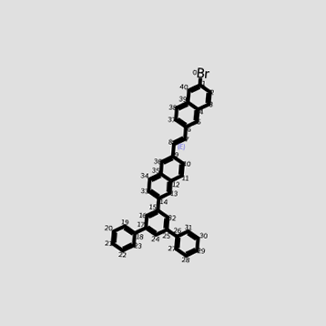 Brc1ccc2cc(/C=C/c3ccc4cc(-c5cc(-c6ccccc6)cc(-c6ccccc6)c5)ccc4c3)ccc2c1